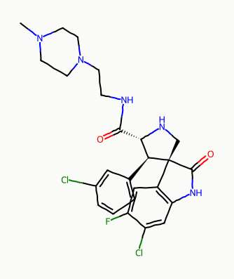 CN1CCN(CCNC(=O)[C@@H]2NC[C@]3(C(=O)Nc4cc(Cl)c(F)cc43)[C@H]2c2cccc(Cl)c2)CC1